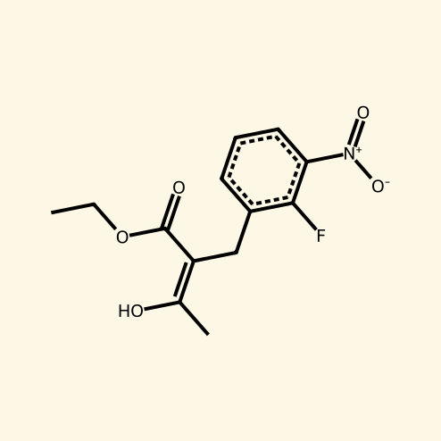 CCOC(=O)/C(Cc1cccc([N+](=O)[O-])c1F)=C(/C)O